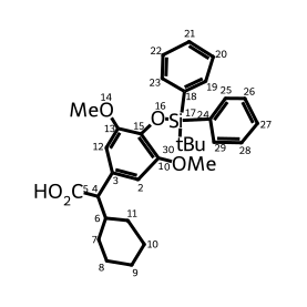 COc1cc(C(C(=O)O)C2CCCCC2)cc(OC)c1O[Si](c1ccccc1)(c1ccccc1)C(C)(C)C